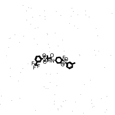 Cc1cccc(S(=O)(=O)[C@]2(F)CC[C@H](NC(=O)C(C)(C)S(=O)(=O)c3cccc(C(F)(F)F)c3)CC2)c1